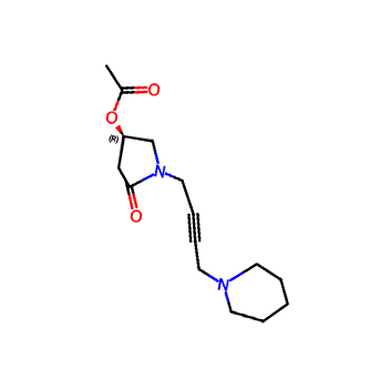 CC(=O)O[C@@H]1CC(=O)N(CC#CCN2CCCCC2)C1